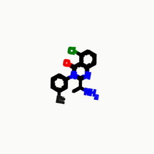 CCc1cccc(-n2c(C(C)N)nc3cccc(Cl)c3c2=O)c1